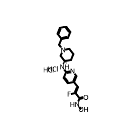 Cl.Cl.O=C(NO)C(F)=Cc1ccc(N[C@@H]2CCCN(Cc3ccccc3)C2)nc1